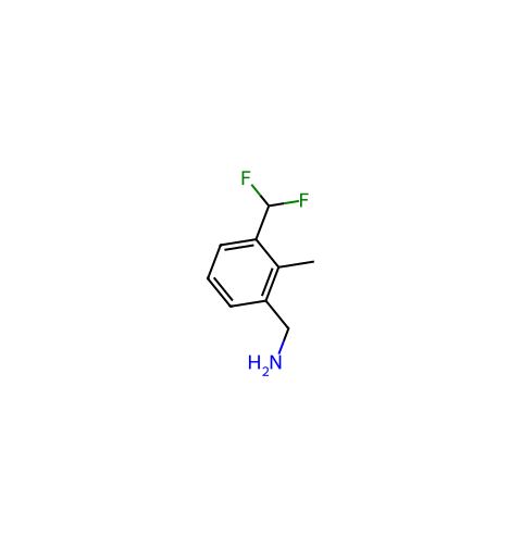 Cc1c(CN)cccc1C(F)F